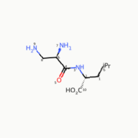 CC(C)C[C@@H](NC(=O)[C@H](N)CN)C(=O)O